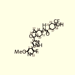 COc1cc(-c2cc(C(=O)N3CC[C@@H](NC(=O)[C@H]4CC[C@@](O)(C(F)(F)F)CC4)CC34CC4)n[nH]2)c(F)cn1